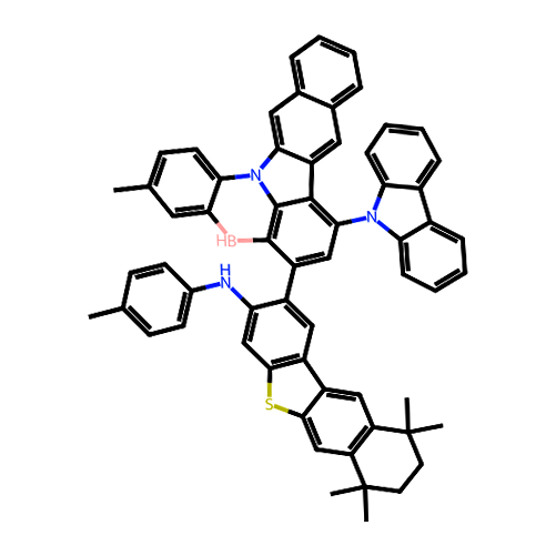 Cc1ccc(Nc2cc3sc4cc5c(cc4c3cc2-c2cc(-n3c4ccccc4c4ccccc43)c3c4cc6ccccc6cc4n4c3c2Bc2cc(C)ccc2-4)C(C)(C)CCC5(C)C)cc1